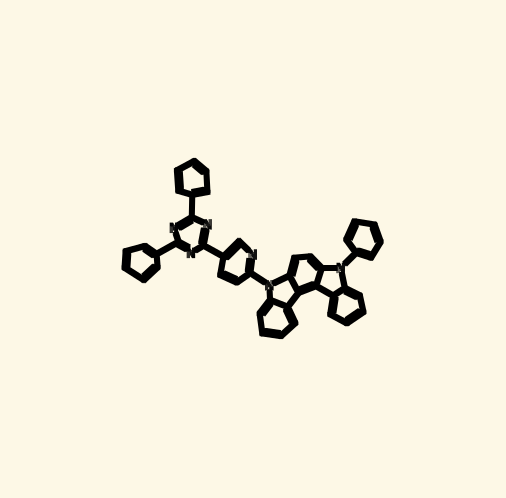 c1ccc(-c2nc(-c3ccccc3)nc(-c3ccc(-n4c5ccccc5c5c6c7ccccc7n(-c7ccccc7)c6ccc54)nc3)n2)cc1